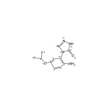 Nc1ccc(OC(F)F)cc1-n1nn[nH]c1=O